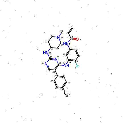 C=CC(=O)Nc1ccc(F)c(Nc2nc(NC3CCN(C)CC3)ncc2-c2ccc(C(F)(F)F)cc2)c1